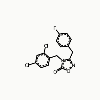 O=c1onc(Cc2ccc(F)cc2)n1Cc1ccc(Cl)cc1Cl